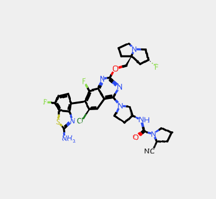 N#CC1CCCN1C(=O)NC1CCN(c2nc(OC[C@@]34CCCN3C[C@H](F)C4)nc3c(F)c(-c4ccc(F)c5sc(N)nc45)c(Cl)cc23)C1